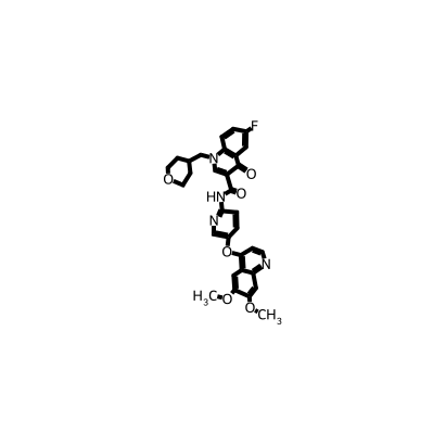 COc1cc2nccc(Oc3ccc(NC(=O)c4cn(CC5CCOCC5)c5ccc(F)cc5c4=O)nc3)c2cc1OC